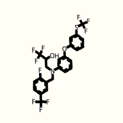 OC(CN(Cc1cc(C(F)(F)F)ccc1F)c1cccc(Oc2cccc(SC(F)(F)F)c2)c1)C(F)(F)F